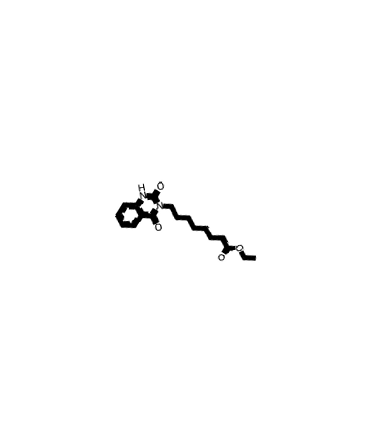 CCOC(=O)CCCCCCCn1c(=O)[nH]c2ccccc2c1=O